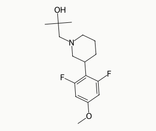 COc1cc(F)c(C2CCCN(CC(C)(C)O)C2)c(F)c1